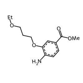 CCOCCCOc1cc(C(=O)OC)ccc1N